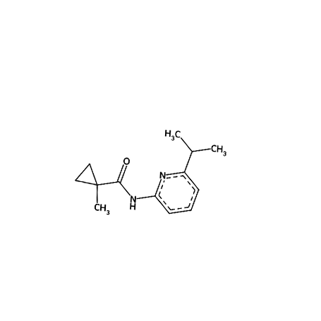 CC(C)c1cccc(NC(=O)C2(C)CC2)n1